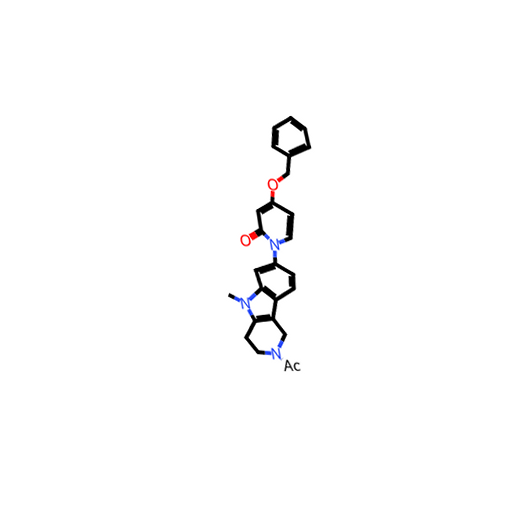 CC(=O)N1CCc2c(c3ccc(-n4ccc(OCc5ccccc5)cc4=O)cc3n2C)C1